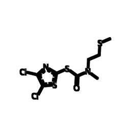 CSCCN(C)C(=O)Sc1nc(Cl)c(Cl)s1